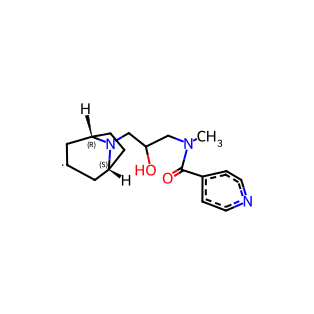 CN(CC(O)CN1[C@@H]2C[CH]C[C@H]1CC2)C(=O)c1ccncc1